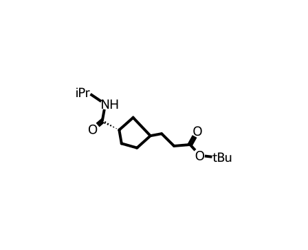 CC(C)NC(=O)[C@H]1CCC(CCC(=O)OC(C)(C)C)C1